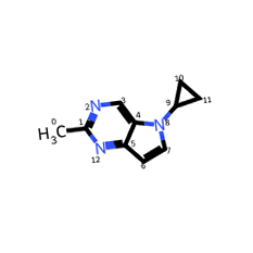 Cc1ncc2c(ccn2C2CC2)n1